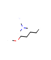 CCCCCCCCCCCCOS(=O)(=O)O.CN(C)C.N